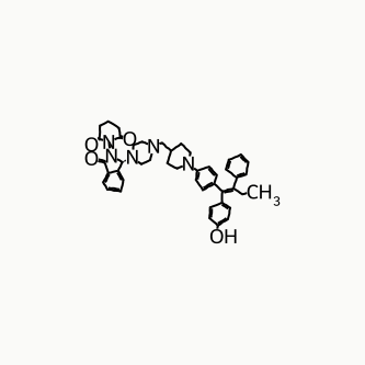 CC/C(=C(\c1ccc(O)cc1)c1ccc(N2CCC(CN3CCN([C@@H]4c5ccccc5C(=O)N4N4C(=O)CCCC4=O)CC3)CC2)cc1)c1ccccc1